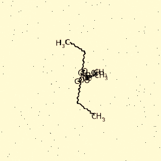 CCCCCCCCC/C=C\CCCCCCCC(=O)O[C@H](COC(=O)CCCCCCCCC/C=C\CCCCCCCCCC)COP(=O)([O-])OCC[N+](C)(C)C